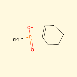 CCCP(=O)(O)C1=CCCCC1